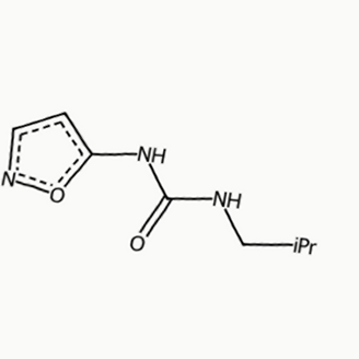 CC(C)CNC(=O)Nc1ccno1